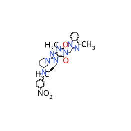 CC#CCn1c(N2CCCC(/N=C/c3ccc([N+](=O)[O-])cc3)C2)nc2c1c(=O)n(Cc1nc(C)c3ccccc3n1)c(=O)n2C